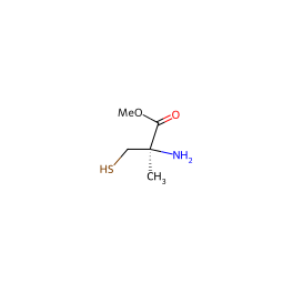 COC(=O)[C@@](C)(N)CS